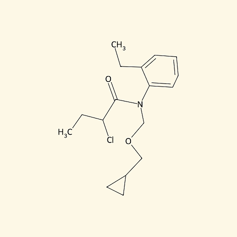 CCc1ccccc1N(COCC1CC1)C(=O)C(Cl)CC